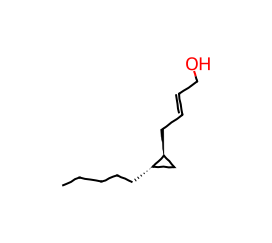 CCCCC[C@H]1C[C@@H]1CC=CCO